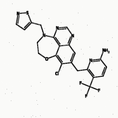 Nc1ccc(C(F)(F)F)c(Cc2cc3ncnc4c3c(c2Cl)OCCN4Cc2ccns2)n1